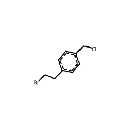 ClCc1ccc(CCBr)cc1